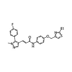 CCc1nc(COc2ccc(NC(=O)C=Cc3cnn(C)c3-c3ccc(F)cc3)cc2)cs1